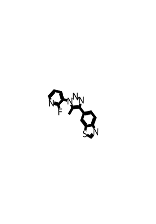 Cc1c(-c2ccc3ncsc3c2)nnn1-c1cccnc1F